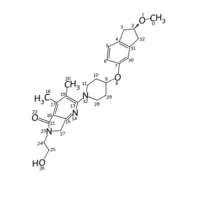 CO[C@@H]1Cc2ccc(OC3CCN(c4nc5c(c(C)c4C)C(=O)N(CCO)C5)CC3)cc2C1